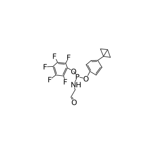 O=CCNP(Oc1ccc(C23CC2C3)cc1)Oc1c(F)c(F)c(F)c(F)c1F